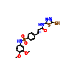 COc1ccc(NS(=O)(=O)c2ccc(/C=C/C(=O)Nc3nnc(S)s3)cc2)cc1OC